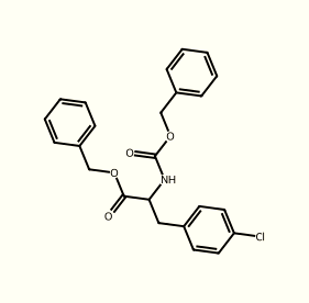 O=C(NC(Cc1ccc(Cl)cc1)C(=O)OCc1ccccc1)OCc1ccccc1